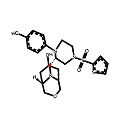 O=S(=O)(c1cccs1)N1CCN(c2ccc(O)cc2)[C@@H](CN2C3COC[C@@H]2CC(O)C3)C1